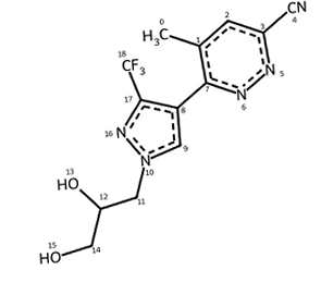 Cc1cc(C#N)nnc1-c1cn(CC(O)CO)nc1C(F)(F)F